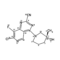 C[C@@]1(O)CCCN(c2nc(C#N)nc3c(F)c(Cl)ncc23)C1